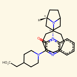 O=C(O)CC1CCN(c2nc3ccccc3n([C@H]3CC4CC[C@@H](C3)N4C3CCCCCCC3)c2=O)CC1